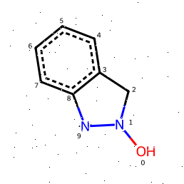 ON1Cc2ccccc2[N]1